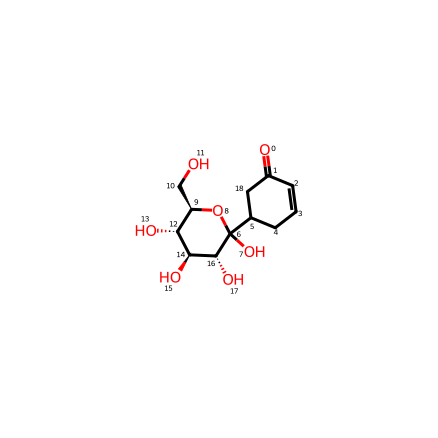 O=C1C=CCC(C2(O)O[C@H](CO)[C@@H](O)[C@H](O)[C@H]2O)C1